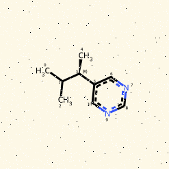 CC(C)[C@@H](C)c1cncnc1